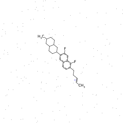 C/C=C/CCc1ccc2cc(C3CCC4CC(C)CCC4C3)c(F)cc2c1F